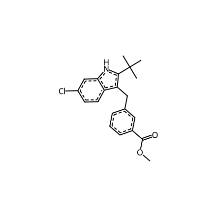 COC(=O)c1cccc(Cc2c(C(C)(C)C)[nH]c3cc(Cl)ccc23)c1